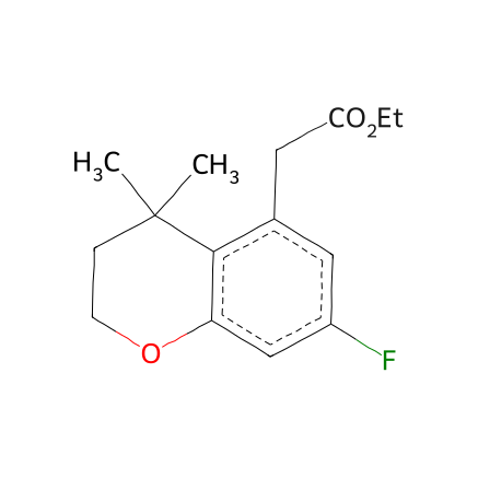 CCOC(=O)Cc1cc(F)cc2c1C(C)(C)CCO2